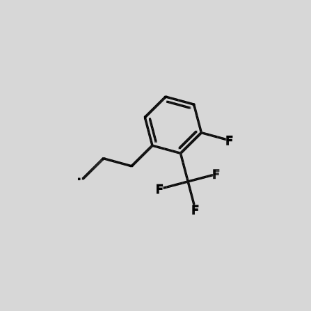 [CH2]CCc1cccc(F)c1C(F)(F)F